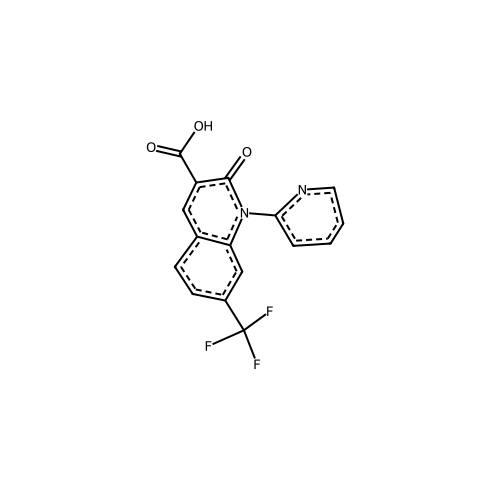 O=C(O)c1cc2ccc(C(F)(F)F)cc2n(-c2ccccn2)c1=O